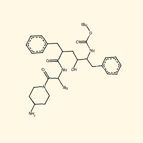 CCC(C)C(NC(=O)C(Cc1ccccc1)CC(O)C(Cc1ccccc1)NC(=O)OC(C)(C)C)C(=O)N1CCC(N)CC1